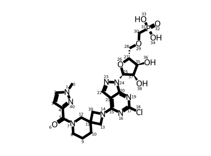 Cn1ccc(C(=O)N2CCCC3(C2)CN(c2nc(Cl)nc4c2cnn4[C@@H]2O[C@H](COCP(=O)(O)O)[C@@H](O)[C@H]2O)C3)n1